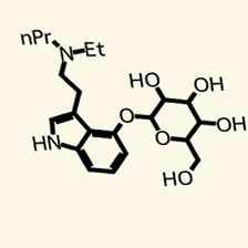 CCCN(CC)CCc1c[nH]c2cccc(OC3OC(CO)C(O)C(O)C3O)c12